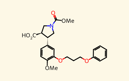 COC(=O)N1C[C@H](C(=O)O)[C@@H](c2ccc(OC)c(OCCCOc3ccccc3)c2)C1